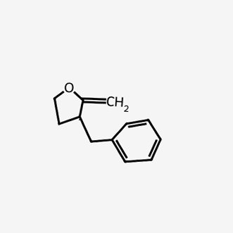 C=C1OCC[C]1Cc1ccccc1